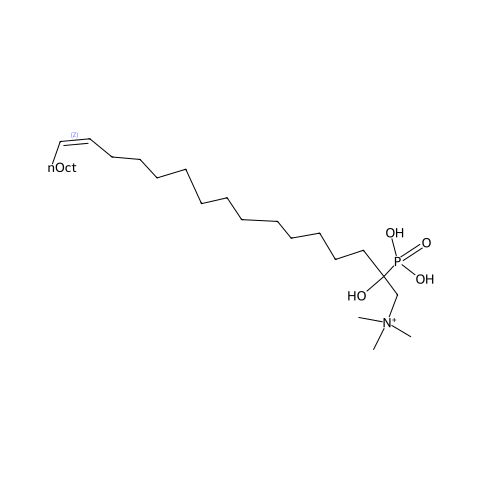 CCCCCCCC/C=C\CCCCCCCCCCCCC(O)(C[N+](C)(C)C)P(=O)(O)O